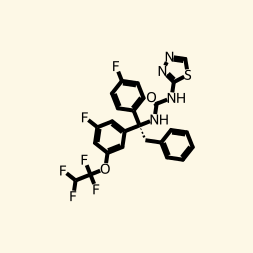 O=C(Nc1nncs1)N[C@](Cc1ccccc1)(c1ccc(F)cc1)c1cc(F)cc(OC(F)(F)C(F)F)c1